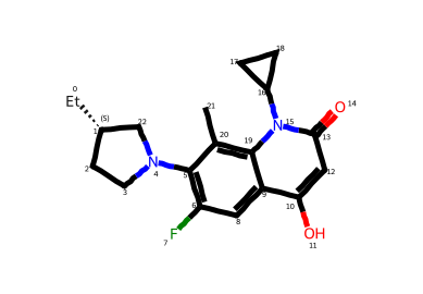 CC[C@H]1CCN(c2c(F)cc3c(O)cc(=O)n(C4CC4)c3c2C)C1